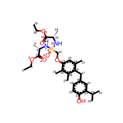 CCOC(=O)[C@H](C)NP(=O)(COc1cc(C)c(Cc2ccc(O)c(C(C)C)c2)c(C)c1C)N[C@@H](C)C(=O)OCC